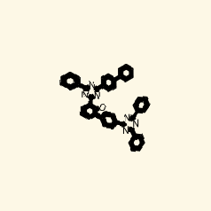 c1ccc(-c2ccc(-c3nc(-c4ccccc4)nc(-c4cccc5c4oc4cc(-c6nc(-c7ccccc7)nc(-c7ccccc7)n6)ccc45)n3)cc2)cc1